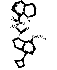 COc1ccc(C2CCC2)c2c1[C@@H](C(=O)NS(=O)(=O)c1cccc3c1NCCC3)CC2